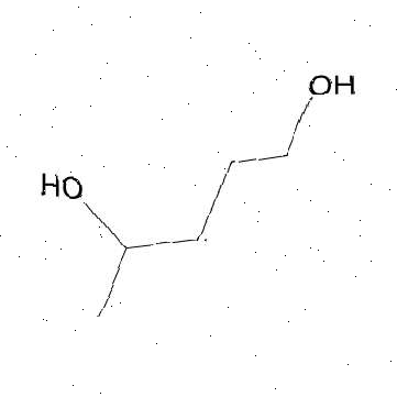 CC(O)[CH]CCO